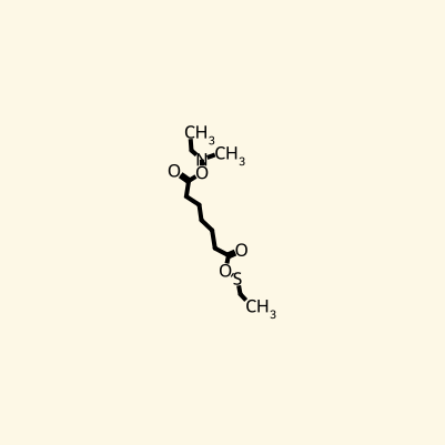 CCSOC(=O)CCCCCC(=O)ON(C)CC